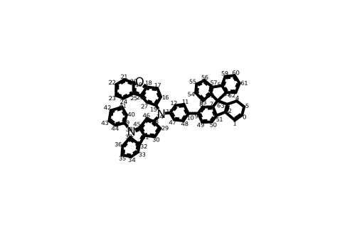 C1=CC2=C(CC1)C1(c3cc(-c4ccc(N(c5ccc6oc7ccccc7c6c5)c5ccc6c7ccccc7n(-c7ccccc7)c6c5)cc4)ccc32)c2ccccc2-c2ccccc21